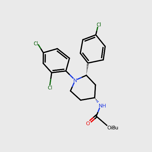 CC(C)COC(=O)N[C@@H]1CCN(c2ccc(Cl)cc2Cl)[C@H](c2ccc(Cl)cc2)C1